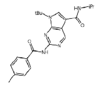 Cc1ccc(C(=O)Nc2ncc3c(C(=O)NC(C)C)cn(C(C)(C)C)c3n2)cc1